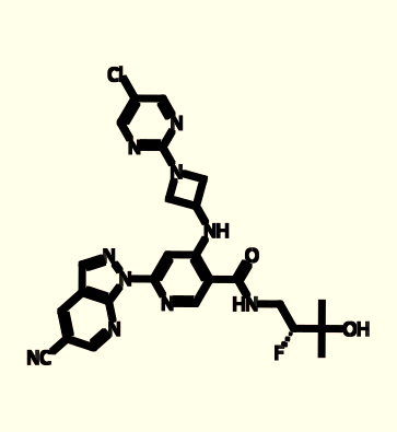 CC(C)(O)[C@H](F)CNC(=O)c1cnc(-n2ncc3cc(C#N)cnc32)cc1NC1CN(c2ncc(Cl)cn2)C1